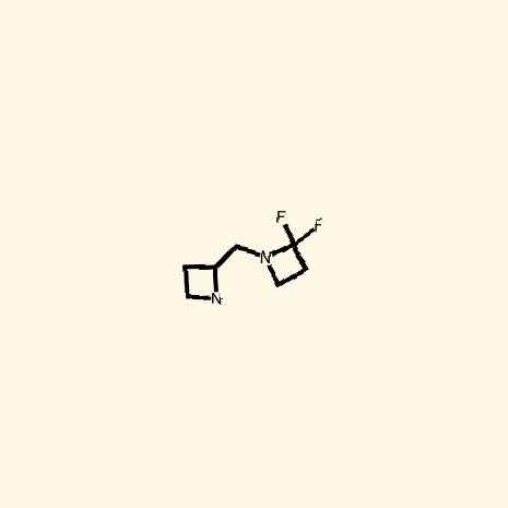 FC1(F)CCN1CC1CC[N]1